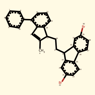 CC1=Cc2c(-c3ccccc3)cccc2C1CCC1c2cc(Br)ccc2-c2ccc(Br)cc21